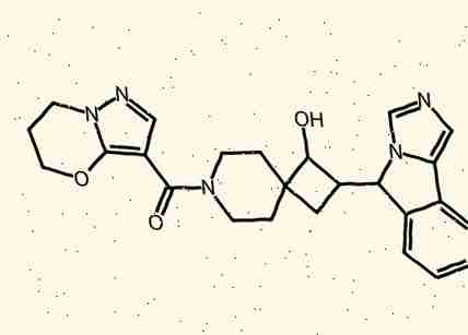 O=C(c1cnn2c1OCCC2)N1CCC2(CC1)CC(C1c3ccccc3-c3cncn31)C2O